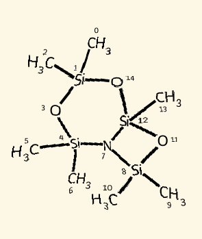 C[Si]1(C)O[Si](C)(C)N2[Si](C)(C)O[Si]2(C)O1